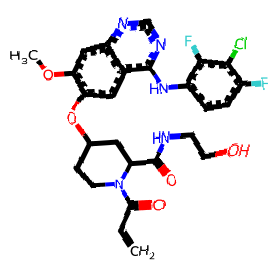 C=CC(=O)N1CCC(Oc2cc3c(Nc4ccc(F)c(Cl)c4F)ncnc3cc2OC)CC1C(=O)NCCO